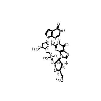 Nc1nc2c(ncn2[C@]2(OP(=O)(S)OC[C@H]3O[C@@H](n4ccc5c(=O)[nH]cnc54)C[C@@H]3O)CO[C@H](CO)[C@H]2F)c(=O)[nH]1